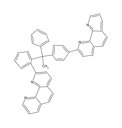 CC(c1ccccc1)(c1ccc(-c2ccc3ccc4cccnc4c3n2)cc1)c1ccccc1-c1ccc2ccc3cccnc3c2n1